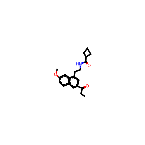 CCC(=O)c1cc(CCNC(=O)C2CCC2)c2cc(OC)ccc2c1